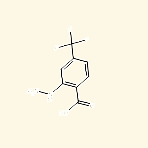 NNc1cc(C(F)(F)F)ccc1C(=O)O